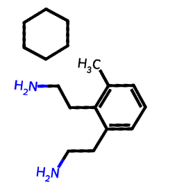 C1CCCCC1.Cc1cccc(CCN)c1CCN